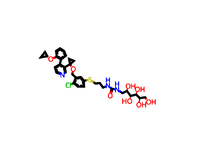 O=C(NCCCSc1ccc(Cl)c(COC2(c3cnccc3-c3ccccc3OC3CC3)CC2)c1)NC[C@H](O)[C@@H](O)[C@H](O)[C@H](O)CO